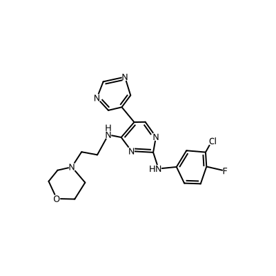 Fc1ccc(Nc2ncc(-c3cncnc3)c(NCCN3CCOCC3)n2)cc1Cl